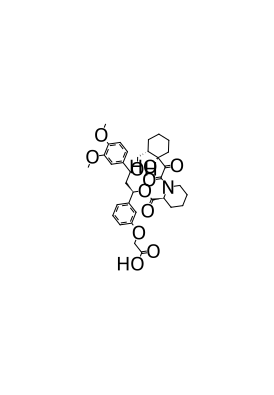 COc1ccc(CC[C@@H](OC(=O)[C@@H]2CCCCN2C(=O)C(=O)[C@@]2(O)CCCC[C@H]2CO)c2cccc(OCC(=O)O)c2)cc1OC